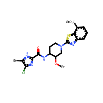 CCOC(=O)c1cccc2nc(N3CCC(NC(=O)c4nc(Cl)c(CC)[nH]4)C(OC(C)C)C3)sc12